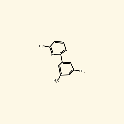 Cc1cc(C)cc(-c2nccc(N)n2)c1